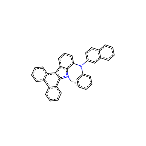 Cn1c2c(N(c3ccccc3)c3ccc4ccccc4c3)cccc2c2c3ccccc3c3ccccc3c21